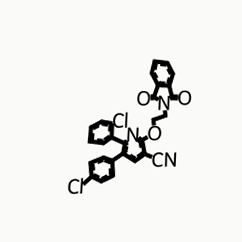 N#Cc1cc(-c2ccc(Cl)cc2)c(-c2ccccc2Cl)nc1OCCN1C(=O)c2ccccc2C1=O